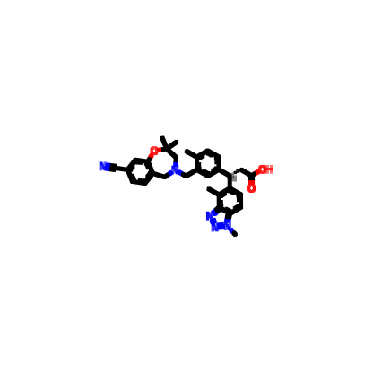 Cc1ccc([C@H](CC(=O)O)c2ccc3c(nnn3C)c2C)cc1CN1Cc2ccc(C#N)cc2OC(C)(C)C1